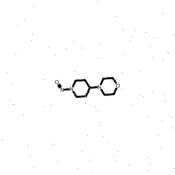 O=NN1CCC(N2CCOCC2)CC1